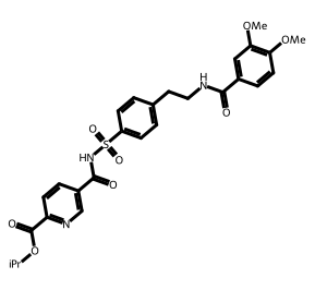 COc1ccc(C(=O)NCCc2ccc(S(=O)(=O)NC(=O)c3ccc(C(=O)OC(C)C)nc3)cc2)cc1OC